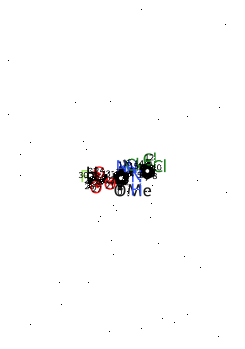 COc1cc2c(Nc3ccc(Cl)c(Cl)c3Cl)ncnc2cc1O[C@@H]1CO[C@@H]2C1OC[C@H]2F